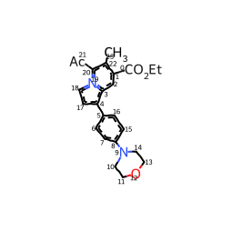 CCOC(=O)c1cc2c(-c3ccc(N4CCOCC4)cc3)ccn2c(C(C)=O)c1C